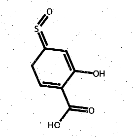 O=S=C1C=C(O)C(C(=O)O)=CC1